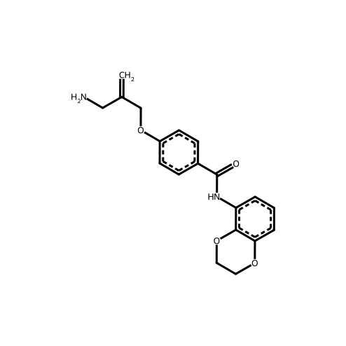 C=C(CN)COc1ccc(C(=O)Nc2cccc3c2OCCO3)cc1